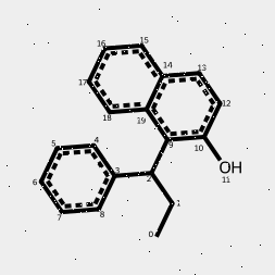 CCC(c1ccccc1)c1c(O)ccc2ccccc12